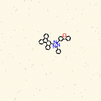 c1ccc(-c2nc(-c3ccc4oc5ccccc5c4c3)nc(-c3cc4c5ccccc5c5ccccc5c4c4ccccc34)n2)cc1